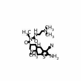 CCN(C(=O)NCCN(C)C)C(=O)[C@@H]1C[C@@H]2Cc3c(sc(N)c3C#N)C[C@H]2N(C)C1